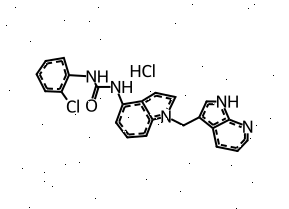 Cl.O=C(Nc1ccccc1Cl)Nc1cccc2c1ccn2Cc1c[nH]c2ncccc12